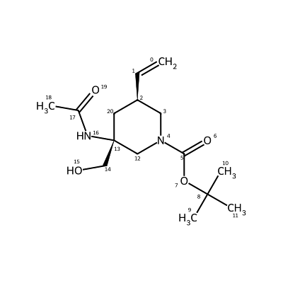 C=C[C@H]1CN(C(=O)OC(C)(C)C)C[C@](CO)(NC(C)=O)C1